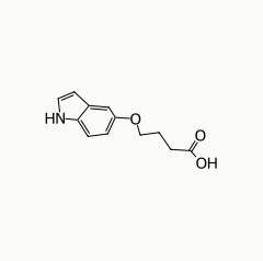 O=C(O)CCCOc1ccc2[nH]ccc2c1